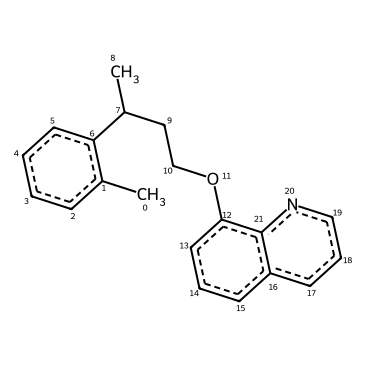 Cc1ccccc1C(C)CCOc1cccc2cccnc12